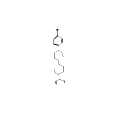 C=CC(C(=O)O)[C@H]1CC[C@H]([C@H]2CC[C@H](c3ccc(C#N)cc3)CC2)CC1